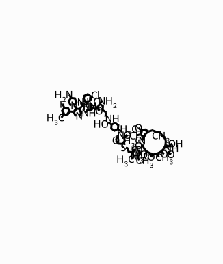 COc1cc2cc(c1Cl)N(C)C(=O)C[C@H](OC(=O)C(C)N(C)C(=O)CCS[C@H]1COCN(CC3CCC(C(O)NCCCCC(C)(N)C(=O)NCCNc4ncc(-c5cc(C)cc(F)c5)c(N5CCC(N)CC5)c4-c4nc5ccc(Cl)cc5[nH]4)CC3)C(=O)C1)C1(C)OC1C(C)C1CC(CO)(C/C=C/C=C(\C)C2)NC(=O)O1